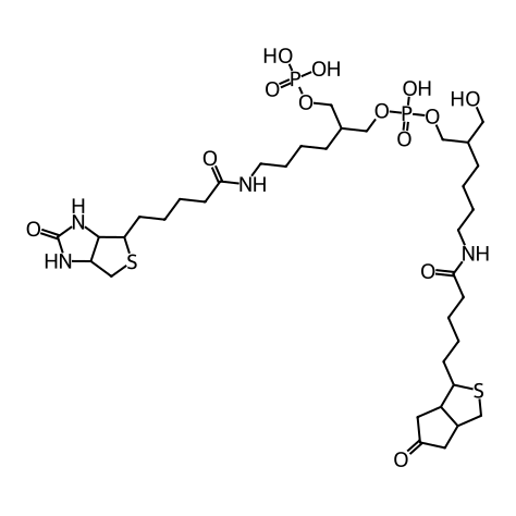 O=C1CC2CSC(CCCCC(=O)NCCCCC(CO)COP(=O)(O)OCC(CCCCNC(=O)CCCCC3SCC4NC(=O)NC43)COP(=O)(O)O)C2C1